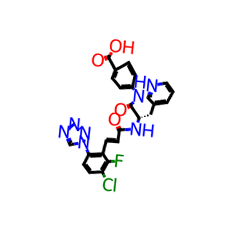 O=C(/C=C/c1c(-n2cnnn2)ccc(Cl)c1F)N[C@@H](Cc1cccnc1)C(=O)Nc1ccc(C(=O)O)cc1